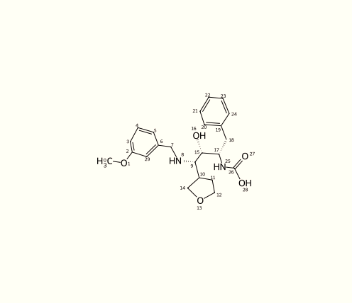 COc1cccc(CN[C@@H](C2CCOC2)[C@H](O)[C@H](Cc2ccccc2)NC(=O)O)c1